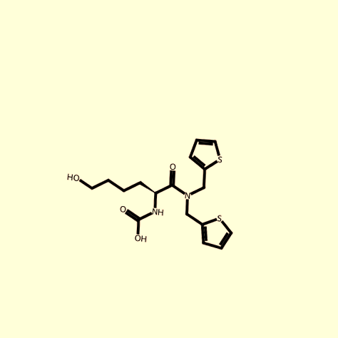 O=C(O)N[C@@H](CCCCO)C(=O)N(Cc1cccs1)Cc1cccs1